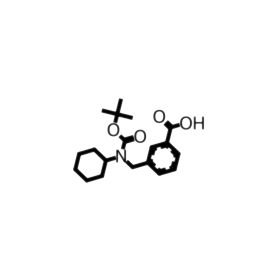 CC(C)(C)OC(=O)N(Cc1cccc(C(=O)O)c1)C1CCCCC1